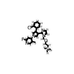 Cc1cnc(F)cc1-n1cc(-c2ccccc2Cl)c(-c2nccn2COCC[Si](C)(C)C)c1